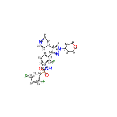 Cc1cc(-c2cn(C3CCOCC3)nc2-c2cccc(NS(=O)(=O)c3cc(F)ccc3F)c2F)ccn1